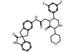 O=C(CN1C(=O)C(C2CCOCC2)NCC1c1cc(F)cc(F)c1)Nc1ccc2c(c1)CC1(C2)C(=O)Nc2ccccc21